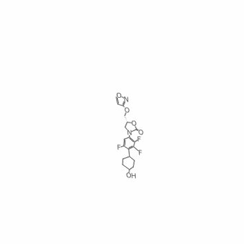 O=C1O[C@@H](COc2ccon2)CN1c1cc(F)c(C2CCC(O)CC2)c(F)c1F